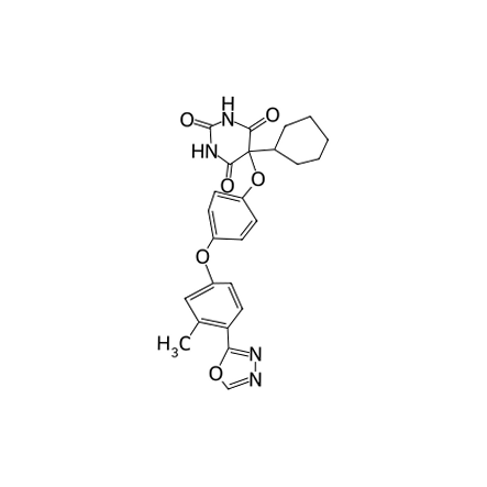 Cc1cc(Oc2ccc(OC3(C4CCCCC4)C(=O)NC(=O)NC3=O)cc2)ccc1-c1nnco1